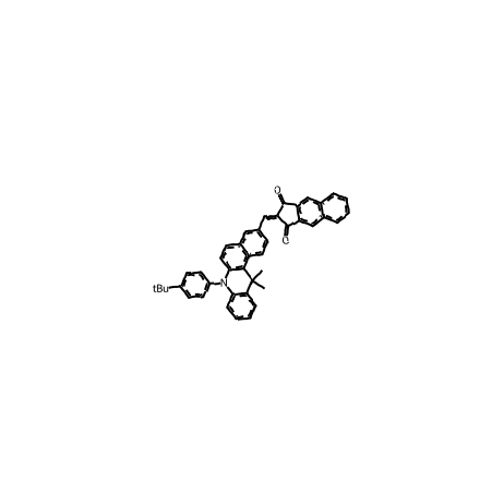 CC(C)(C)c1ccc(N2c3ccccc3C(C)(C)c3c2ccc2cc(C=C4C(=O)c5cc6ccccc6cc5C4=O)ccc32)cc1